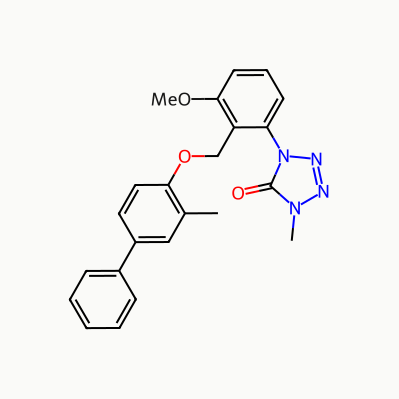 COc1cccc(-n2nnn(C)c2=O)c1COc1ccc(-c2ccccc2)cc1C